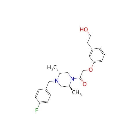 C[C@@H]1CN(C(=O)COc2cccc(CCO)c2)[C@@H](C)CN1Cc1ccc(F)cc1